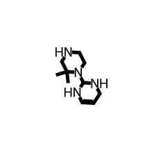 CC1(C)CNCCN1C1NC=CCN1